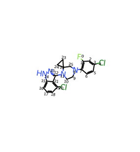 Fc1cc(Cl)ccc1N1CCN(c2n[nH]c3cccc(Cl)c23)C2(CC2)C1